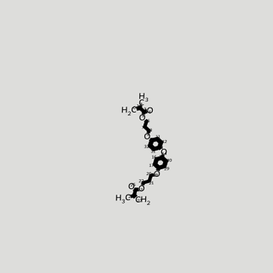 C=C(C)C(=O)OCCCOc1ccc(Oc2ccc(OCCCOC(=O)C(=C)C)cc2)cc1